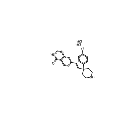 Cl.Cl.O=c1[nH]cnc2cc(C=CC3(c4ccc(Cl)cc4)CCNCC3)ccc12